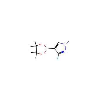 Cn1cc(B2OC(C)(C)C(C)(C)O2)c(F)n1